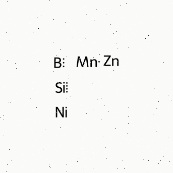 [B].[Mn].[Ni].[Si].[Zn]